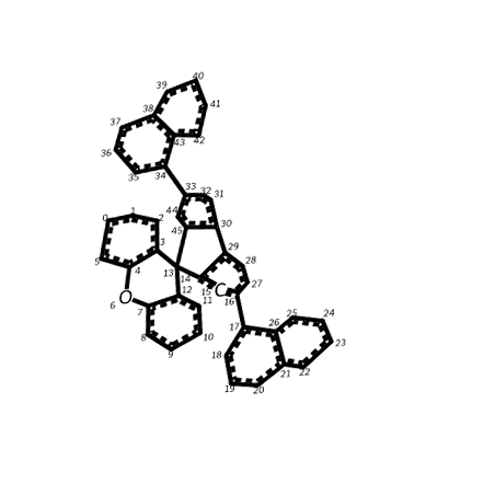 c1ccc2c(c1)Oc1ccccc1C21c2cc(-c3cccc4ccccc34)ccc2-c2ccc(-c3cccc4ccccc34)cc21